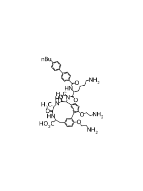 CCCCc1ccc(-c2ccc(C(=O)N[C@@H](CCCCN)C(=O)N(C)C3C(=O)N[C@@H](C)C(=O)N[C@H](C(=O)O)Cc4ccc(OCCN)c(c4)-c4cc3ccc4OCCN)cc2)cc1